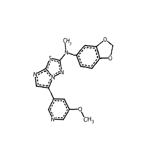 COc1cncc(-c2cnc3sc(N(C)c4ccc5c(c4)OCO5)nn23)c1